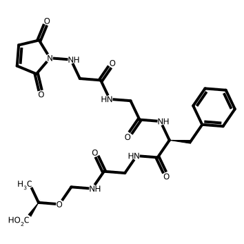 C[C@@H](OCNC(=O)CNC(=O)[C@H](Cc1ccccc1)NC(=O)CNC(=O)CNN1C(=O)C=CC1=O)C(=O)O